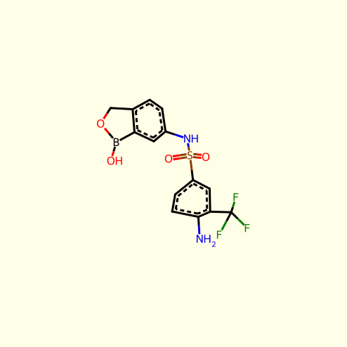 Nc1ccc(S(=O)(=O)Nc2ccc3c(c2)B(O)OC3)cc1C(F)(F)F